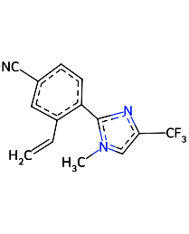 C=Cc1cc(C#N)ccc1-c1nc(C(F)(F)F)cn1C